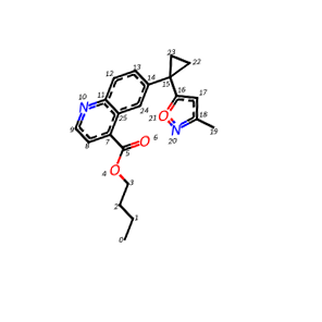 CCCCOC(=O)c1ccnc2ccc(C3(c4cc(C)no4)CC3)cc12